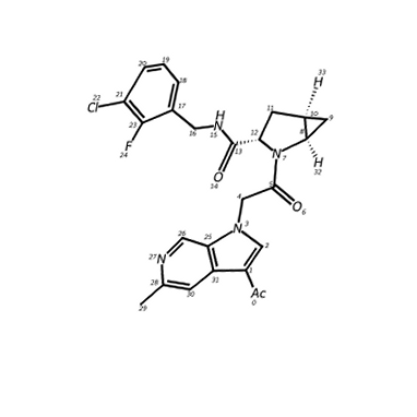 CC(=O)c1cn(CC(=O)N2[C@@H]3C[C@@H]3C[C@H]2C(=O)NCc2cccc(Cl)c2F)c2cnc(C)cc12